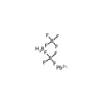 B.F[B-](F)(F)F.F[B-](F)(F)F.[Pb+2]